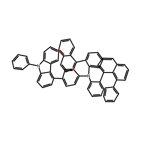 c1ccc(-c2cccc3cccc(-c4ccccc4N(c4ccc(-c5cccc6c5c5ccccc5n6-c5ccccc5)cc4)c4ccccc4-c4cccc5ccccc45)c23)cc1